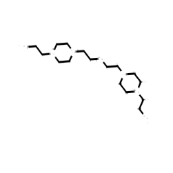 NCCN1CCN(CCNCCN2CCN(CCN)CC2)CC1